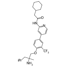 CC(C)CC(C)(N)COc1ccc(-c2ccnc(NC(=O)CC3CCCCC3)c2)cc1C(F)(F)F